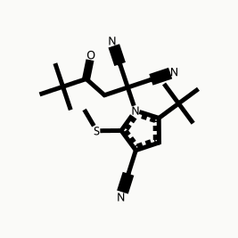 CSc1c(C#N)cc(C(C)(C)C)n1C(C#N)(C#N)CC(=O)C(C)(C)C